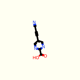 N#CC#Cc1cnc(C(=O)O)nc1